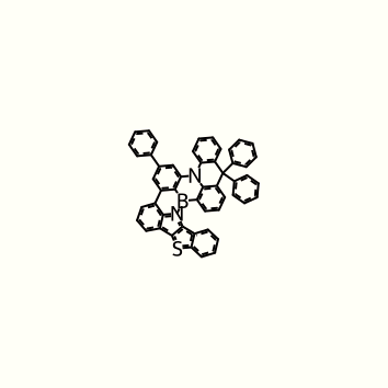 c1ccc(-c2cc3c4c(c2)N2c5ccccc5C(c5ccccc5)(c5ccccc5)c5cccc(c52)B4n2c4c-3cccc4c3sc4ccccc4c32)cc1